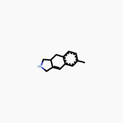 Cc1ccc2c(c1)C=C1CNCC1C2